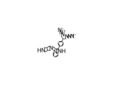 [N-]=[N+]=NCC(CN=[N+]=[N-])c1ccc(C2=C(CN3CC4CNCC4C3)N3C=CC=CC3N2)cc1